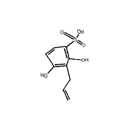 C=CCc1c(O)ccc(S(=O)(=O)O)c1O